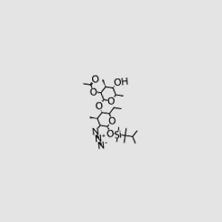 CCC1O[C@@H](O[Si](C)(C)C(C)(C)C(C)C)C(N=[N+]=[N-])[C@@H](C)[C@@H]1O[C@@H]1OC(C)[C@@H](O)[C@H](C)C1OC(C)=O